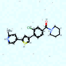 CCCCc1cc(-c2cc(-c3ccc(C(=O)N4CCCCC4)cc3Cl)cs2)ccn1